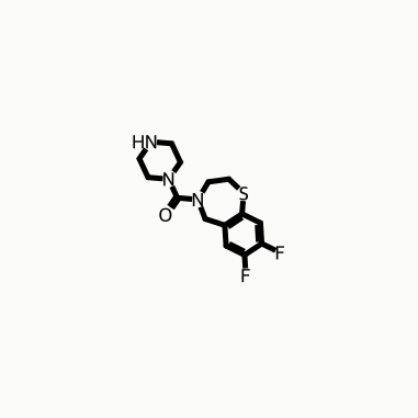 O=C(N1CCNCC1)N1CCSc2cc(F)c(F)cc2C1